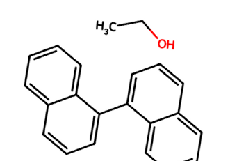 CCO.c1ccc2c(-c3cccc4ccccc34)cccc2c1